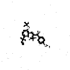 C=CC(C)(C)c1ccc(OC(C)(C)C)c(C=CC(=O)c2ccc(N)cc2)c1OC(C)(C)C